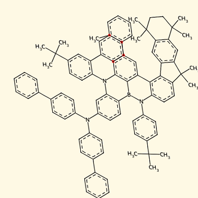 Cc1ccccc1-c1cc2c3c(c1)N(c1ccc(C(C)(C)C)cc1-c1ccccc1)c1cc(N(c4ccc(-c5ccccc5)cc4)c4ccc(-c5ccccc5)cc4)ccc1B3N(c1ccc(C(C)(C)C)cc1)c1ccc3c(c1-2)-c1cc2c(cc1C3(C)C)C(C)(C)CCC2(C)C